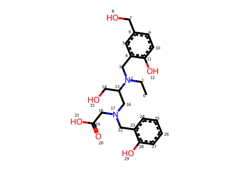 CCN(Cc1cc(CO)ccc1O)C(CO)CN(CC(=O)O)Cc1ccccc1O